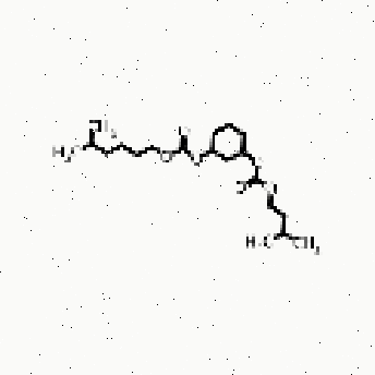 CC(C)CCCCOC(=O)OC1CCCC(OC(=O)OCCC(C)C)C1